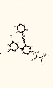 CC(N)C(=O)Nc1ccc(-c2cc(F)cc(F)c2)c(C#Cc2ccccc2)n1